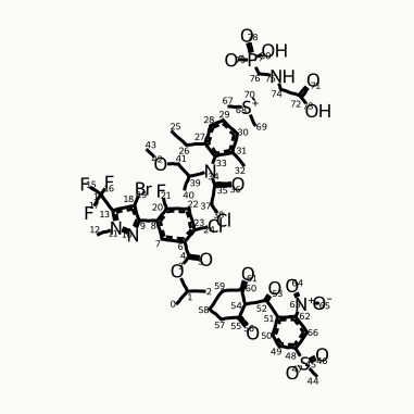 CC(C)OC(=O)c1cc(-c2nn(C)c(C(F)(F)F)c2Br)c(F)cc1Cl.CCc1cccc(C)c1N(C(=O)CCl)C(C)COC.CS(=O)(=O)c1ccc(C(=O)C2C(=O)CCCC2=O)c([N+](=O)[O-])c1.C[S+](C)C.O=C(O)CNCP(=O)([O-])O